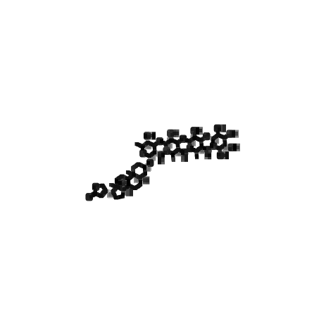 CC1O[C@@H](OC2[C@@H](O)C(C)O[C@@H](OC3[C@@H](O)C(C)O[C@@H](O[C@H]4CCC5(C)C6CCC7(C)[C@@H](C8=CC(=O)OC8)CC[C@]7(O)[C@@H]6CC[C@@H]5C4)[C@H]3O)[C@H]2O)[C@@H](O)C(O[C@H]2OC(O)[C@@H](O)C(O)C2O)[C@H]1O